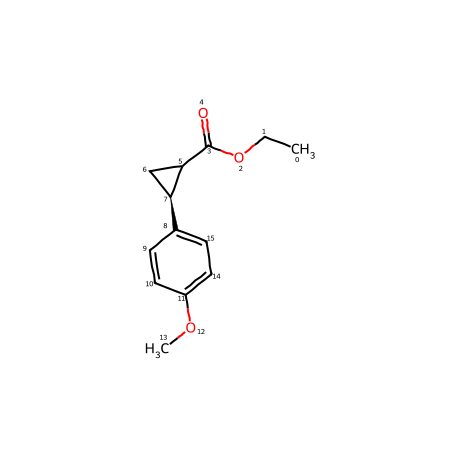 CCOC(=O)C1C[C@@H]1c1ccc(OC)cc1